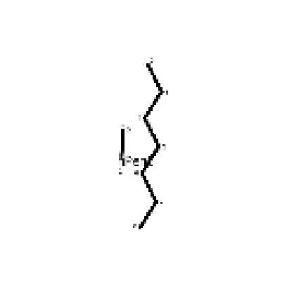 [CH2]CCCCC.[CH2]CCCCCC